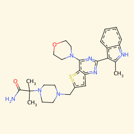 Cc1[nH]c2ccccc2c1-c1nc(N2CCOCC2)c2sc(CN3CCN(C(C)(C)C(N)=O)CC3)cc2n1